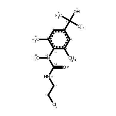 Cc1cc(C(O)(C(F)(F)F)C(F)(F)F)cc(C)c1N(C)C(=O)NCCCl